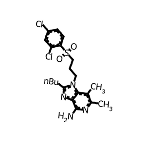 CCCCc1nc2c(N)nc(C)c(C)c2n1CCCS(=O)(=O)c1ccc(Cl)cc1Cl